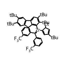 CCC1C=C(C(C)(C)C)C=[C]1[Zr](=[C](c1cccc(C(F)(F)F)c1)c1cccc(C(F)(F)F)c1)[c]1c2c(cc(C(C)(C)C)c1C(C)(C)C)-c1cc(C(C)(C)C)c(C(C)(C)C)cc1C2